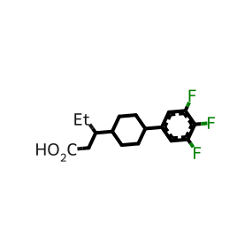 CCC(CC(=O)O)C1CCC(c2cc(F)c(F)c(F)c2)CC1